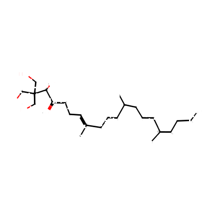 CC(=CCCC(=O)C(O)C(CO)(CO)CO)CCCC(C)CCCC(C)CCCC(C)C